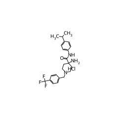 CC(C)c1ccc(NC(=O)C2(N)CCN(Cc3ccc(C(F)(F)F)cc3)CC2)cc1.Cl